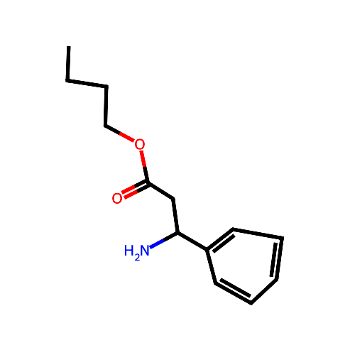 CCCCOC(=O)CC(N)c1ccccc1